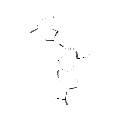 COC(=O)[C@H]1C[C@H](NC[C@@H]2CN(C(=O)OC(C)(C)C)CCN2C(=O)OC(C)(C)C)CN1C